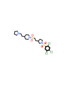 O=S(=O)(CCC1CCN(S(=O)(=O)c2cc(Cl)c(Cl)cc2Cl)C1)N1CCC(CCN2CCCC2)CC1